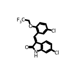 O=C1Nc2cc(Cl)ccc2C1=Cc1cc(Cl)ccc1OCC(F)(F)F